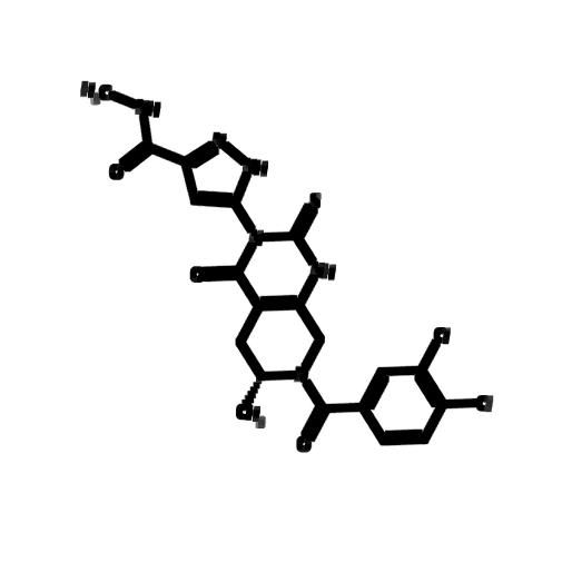 CNC(=O)c1cc(-n2c(=S)[nH]c3c(c2=O)C[C@@H](C)N(C(=O)c2ccc(Cl)c(Cl)c2)C3)[nH]n1